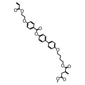 C=CC(=O)OCCOc1ccc(C(=O)Oc2ccc(-c3ccc(OCCCCOC(=O)C(=C)CC(=O)OC)cc3)cc2)cc1